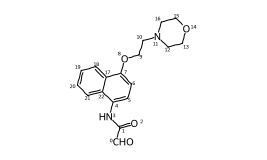 O=CC(=O)Nc1ccc(OCCN2CCOCC2)c2ccccc12